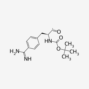 CC(C)(C)OC(=O)N[C@H]([C]=O)Cc1ccc(C(=N)N)cc1